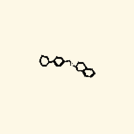 c1ccc2cc(OCc3ccc(C4CCCCC4)cc3)ccc2c1